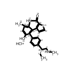 CC[C@@H](CNC)c1ccc(-c2c(O)cc(C)c3[nH]c(=O)c4sccc4c23)cc1.Cl